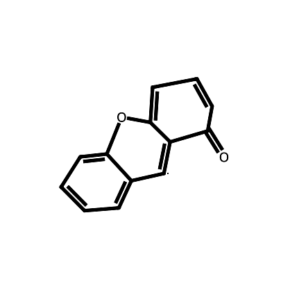 O=c1cccc2oc3ccccc3[c]c1-2